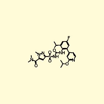 CC(C)Oc1cc(-c2cc(F)cc(C(C)C)c2NC(=O)NS(=O)(=O)c2cc(C(=O)N(C)C)n(C)n2)ccn1